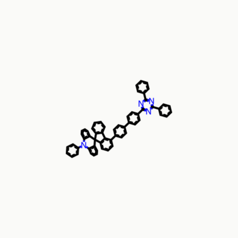 c1ccc(-c2nc(-c3ccccc3)nc(-c3ccc(-c4ccc(-c5cccc6c5-c5ccccc5C65c6ccccc6N(c6ccccc6)c6ccccc65)cc4)cc3)n2)cc1